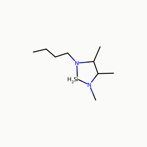 CCCCN1[SiH2]N(C)C(C)C1C